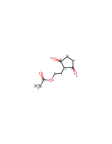 BC(=O)OCCC1C(=O)CCC1=O